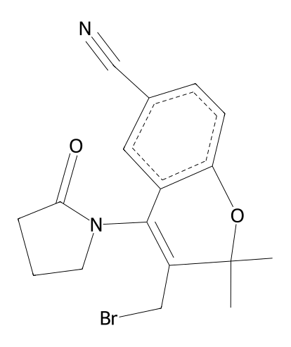 CC1(C)Oc2ccc(C#N)cc2C(N2CCCC2=O)=C1CBr